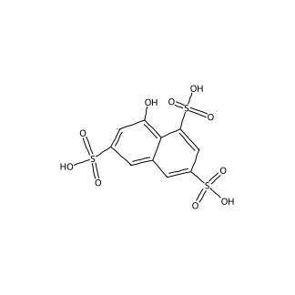 O=S(=O)(O)c1[c]c(O)c2c(S(=O)(=O)O)cc(S(=O)(=O)O)cc2c1